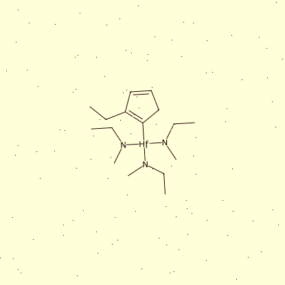 CCC1=[C]([Hf]([N](C)CC)([N](C)CC)[N](C)CC)CC=C1